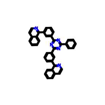 c1ccc(-c2nc(-c3cccc(-c4nccc5ccccc45)c3)nc(-c3cccc(-c4nccc5ccccc45)c3)n2)cc1